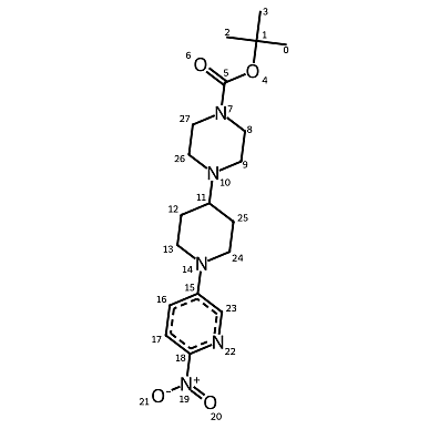 CC(C)(C)OC(=O)N1CCN(C2CCN(c3ccc([N+](=O)[O-])nc3)CC2)CC1